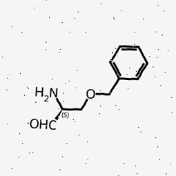 N[C@H]([C]=O)COCc1ccccc1